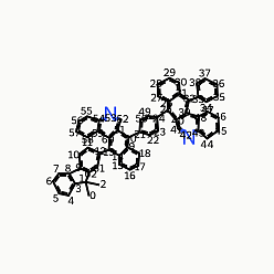 CC1(C)c2ccccc2-c2ccc(-c3c4ccccc4c(-c4ccc(-c5c6ccccc6c(-c6ccccc6)c6c5cnc5ccccc56)cc4)c4cnc5ccccc5c34)cc21